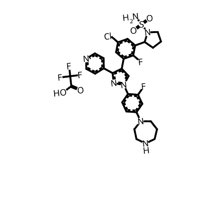 NS(=O)(=O)N1CCCC1c1cc(Cl)cc(-c2cn(-c3ccc(N4CCCNCC4)cc3F)nc2-c2ccncc2)c1F.O=C(O)C(F)(F)F